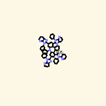 C=C(c1cc(-c2nc3cccnc3n2-c2ccccc2)cc2c1-c1ccccc1-c1c(-c3nc4cccnc4n3-c3ccccc3)cc(-c3nc4cccnc4n3-c3ccccc3)cc1N2c1ccccc1)N(c1ccccc1)c1ncccc1C